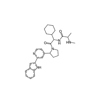 CNC(C)C(=O)NC(C(=O)N1CCCC1c1ccnc(-c2cc3ccccc3[nH]2)c1)C1CCCCC1